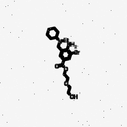 CCN(Cc1cc(C(=O)OCCOCCO)cc(Br)c1N)C1CCCCC1